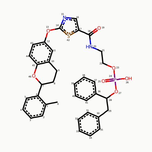 Cc1ccccc1C1CCc2cc(Oc3ncc(C(=O)NCCOP(=O)(O)OC(Cc4ccccc4)c4ccccc4)s3)ccc2O1